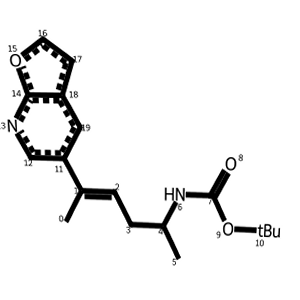 CC(=CCC(C)NC(=O)OC(C)(C)C)c1cnc2occc2c1